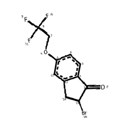 O=C1c2ccc(OCC(F)(F)F)cc2CC1Br